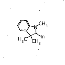 CN1c2ccccc2C(C)(C)[CH]1[In]